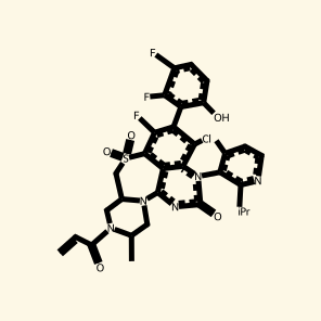 C=CC(=O)N1CC2CS(=O)(=O)c3c(F)c(-c4c(O)ccc(F)c4F)c(Cl)c4c3c(nc(=O)n4-c3c(C)ccnc3C(C)C)N2CC1C